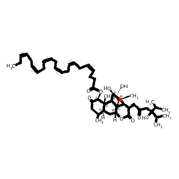 CC/C=C\C/C=C\C/C=C\C/C=C\C/C=C\C/C=C\CCC(=O)O[C@@H]1C(=O)CC(C)[C@@H]2C[C@H]3OC(=O)C(CC(=O)CC(O)(C(C)C)C(C)C)C4[C@@H](C)[C@@H](O)[C@@]5(O)OC[C@@]43C5[C@@]12C